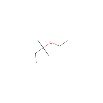 C[CH]OC(C)(C)CC